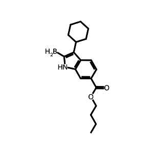 Bc1[nH]c2cc(C(=O)OCCCC)ccc2c1C1CCCCC1